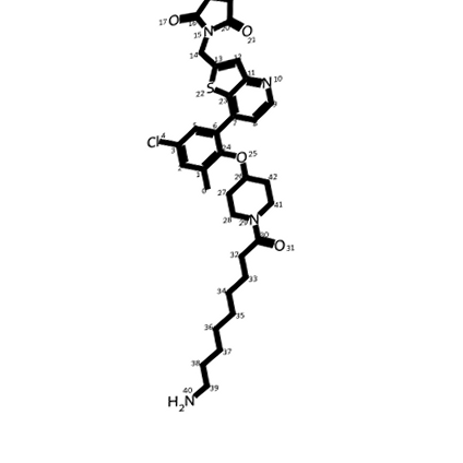 Cc1cc(Cl)cc(-c2ccnc3cc(CN4C(=O)CCC4=O)sc23)c1OC1CCN(C(=O)CCCCCCCCN)CC1